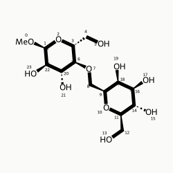 CO[C@H]1O[C@H](CO)[C@@H](OC[C@@H]2O[C@H](CO)[C@@H](O)[C@H](O)[C@@H]2O)[C@H](O)[C@H]1O